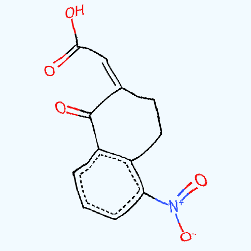 O=C(O)/C=C1/CCc2c(cccc2[N+](=O)[O-])C1=O